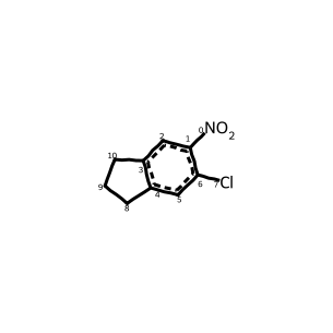 O=[N+]([O-])c1cc2c(cc1Cl)CCC2